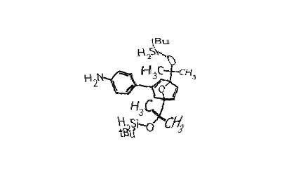 CC(C)(C)[SiH2]OC(C)(C)C12C=CC(C(C)(C)O[SiH2]C(C)(C)C)(CC(c3ccc(N)cc3)=C1)O2